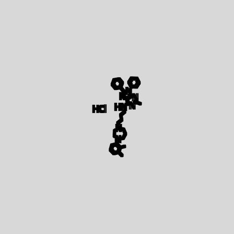 Cc1nc(NCCCCN2CCCN(c3cccc(C)c3C)CC2)c2nc(-c3ccccc3)n(-c3ccccc3)c2n1.Cl